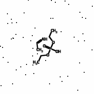 CCOP(=O)(O)OCC.C[CH]=[AlH]